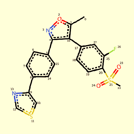 Cc1onc(-c2ccc(-c3cscn3)cc2)c1-c1ccc(S(C)(=O)=O)c(F)c1